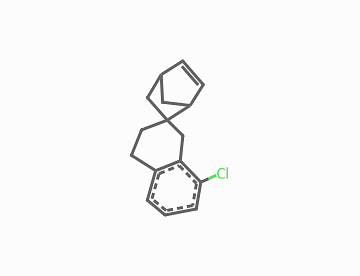 Clc1cccc2c1CC1(CC2)CC2C=CC1C2